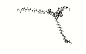 CCCCCCCCCCCCCCCCCC(=O)OCC(COP(=O)(N=O)OCCNC)OC(=O)CCCCCCCCCCCCCCCCC